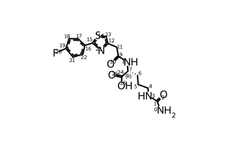 NC(=O)NCCC[C@@H](NC(=O)Cc1csc(-c2ccc(F)cc2)n1)C(=O)O